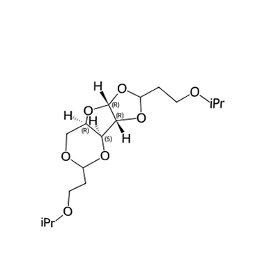 CC(C)OCCC1OC[C@H]2O[C@@H]3OC(CCOC(C)C)O[C@@H]3[C@H]2O1